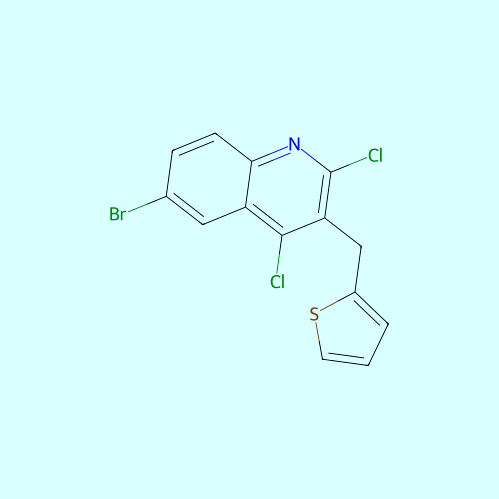 Clc1nc2ccc(Br)cc2c(Cl)c1Cc1cccs1